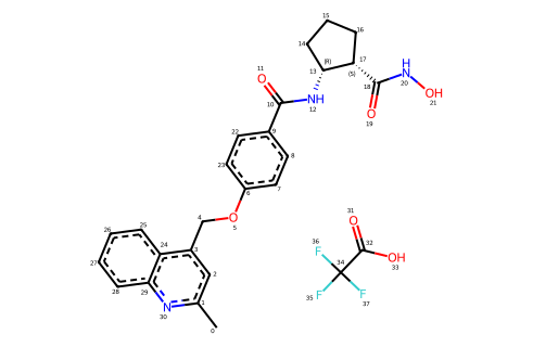 Cc1cc(COc2ccc(C(=O)N[C@@H]3CCC[C@@H]3C(=O)NO)cc2)c2ccccc2n1.O=C(O)C(F)(F)F